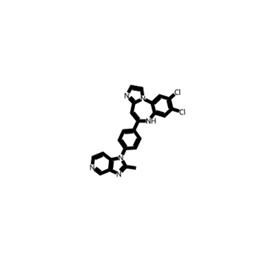 Cc1nc2cnccc2n1-c1ccc(C2=Cc3nccn3-c3cc(Cl)c(Cl)cc3N2)cc1